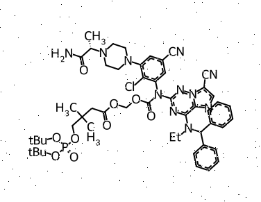 CCN(c1nc(N(C(=O)OCOC(=O)CC(C)(C)COP(=O)(OC(C)(C)C)OC(C)(C)C)c2cc(C#N)cc(N3CCN([C@@H](C)C(N)=O)CC3)c2Cl)nn2c(C#N)cnc12)C(c1ccccc1)c1ccccc1